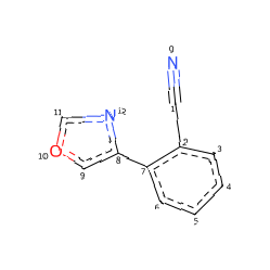 N#Cc1ccccc1-c1cocn1